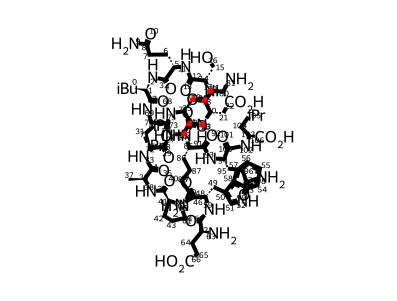 CC[C@H](C)[C@H](NC(=O)[C@H](CCC(N)=O)NC(=O)[C@H](CO)NC(=O)[C@H](CC(=O)O)NC(=O)CNC(=O)[C@H](CC(C)C)NC(=O)[C@H](C)NC(=O)[C@@H]1CCCN1C(=O)[C@H](Cc1c[nH]c2ccccc12)NC(=O)[C@@H](N)CCC(=O)O)C(=O)N[C@@H](CC(C)C)C(=O)N[C@@H](CCCCN)C(=O)N[C@@H](CCCCN)C(=O)N[C@@H](CCC(N)=O)C(=O)N[C@@H](CC(C)C)C(=O)O